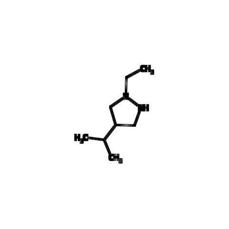 CCN1CC(C(C)C)CN1